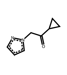 O=C(Cn1c[c]cn1)C1CC1